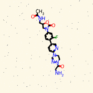 CC(=O)NCC1CN(c2ccc(-c3ccc(N4C=NN(C(=O)CN)CC4)nc3)c(F)c2)C(=O)O1